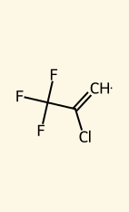 [CH]=C(Cl)C(F)(F)F